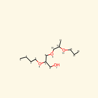 CCCCOC(CO)COCC(C)OCCC